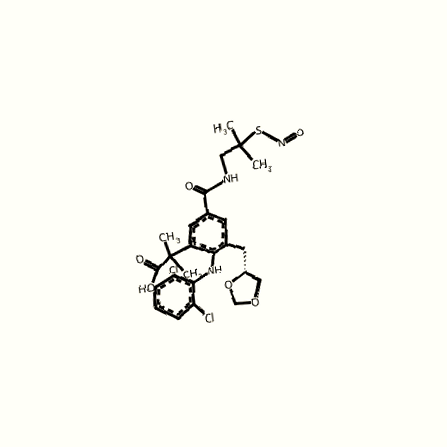 CC(C)(CNC(=O)c1cc(C[C@@H]2COCO2)c(Nc2c(Cl)cccc2Cl)c(C(C)(C)C(=O)O)c1)SN=O